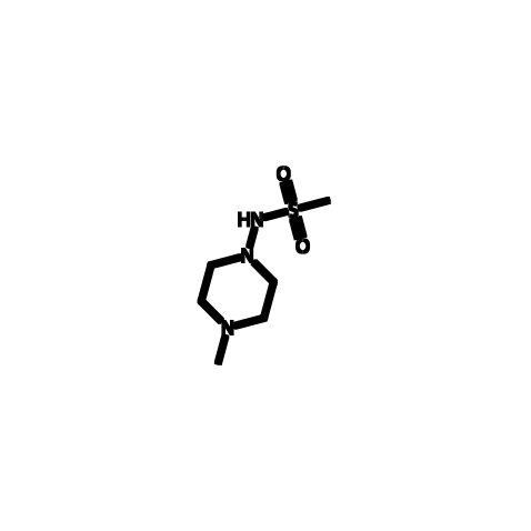 CN1CCN(NS(C)(=O)=O)CC1